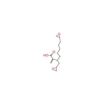 C=C(C(=O)O)C(CCCCCC1CO1)CC1CO1